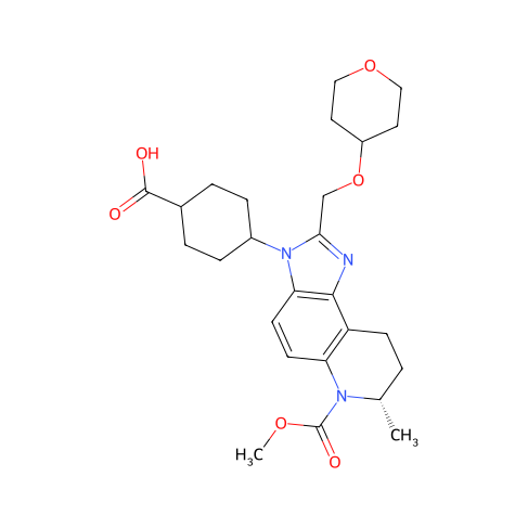 COC(=O)N1c2ccc3c(nc(COC4CCOCC4)n3C3CCC(C(=O)O)CC3)c2CC[C@@H]1C